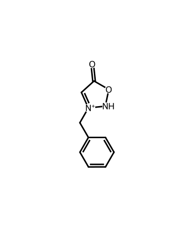 O=c1c[n+](Cc2ccccc2)[nH]o1